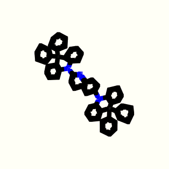 c1ccc([Si]2(c3ccccc3)c3ccccc3N(c3ccc4nc(N5c6ccccc6[Si](c6ccccc6)(c6ccccc6)c6ccccc65)ccc4c3)c3ccccc32)cc1